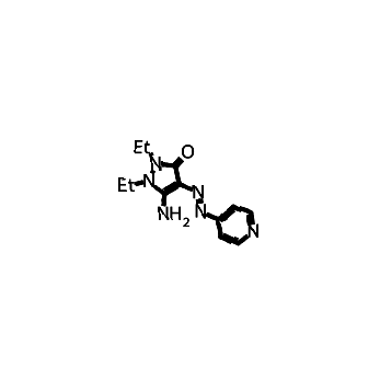 CCn1c(N)c(N=Nc2ccncc2)c(=O)n1CC